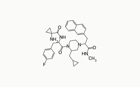 CNC(=O)C(Cc1ccc2ccccc2c1)N1CCN(C(=O)C(Cc2ccc(F)cc2)NC(=O)C2(N)CC2)C(CC2CC2)C1